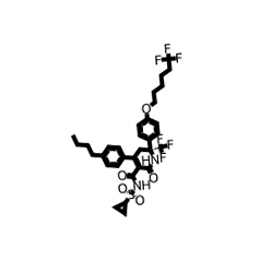 CCCCc1ccc(C2=C(C(=O)NS(=O)(=O)C3CC3)C(=O)N[C@@](c3ccc(OCCCCCC(F)(F)F)cc3)(C(F)(F)F)C2)cc1